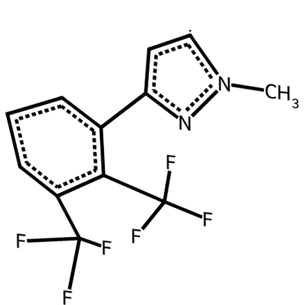 Cn1[c]cc(-c2cccc(C(F)(F)F)c2C(F)(F)F)n1